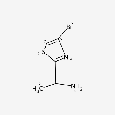 CC(N)c1nc(Br)cs1